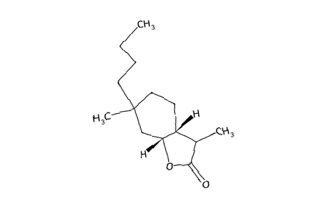 CCCCC1(C)CC[C@@H]2C(C)C(=O)O[C@@H]2C1